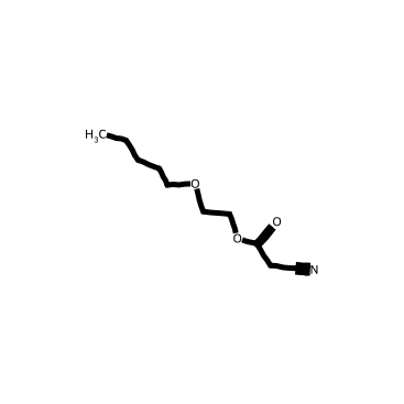 CCCCCOCCOC(=O)CC#N